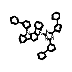 c1ccc(-c2cccc(-c3nc(-c4cccc(-c5ccccc5)c4)nc(-n4c5ccccc5c5c4ccc4c6ccccc6n(-c6cccc(-c7ccccc7)c6)c45)n3)c2)cc1